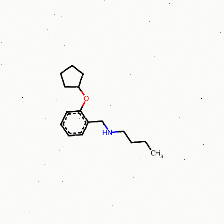 CCCCNCc1ccccc1OC1CCCC1